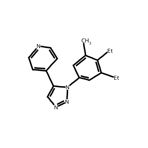 CCc1cc(-n2nncc2-c2ccncc2)cc(C)c1CC